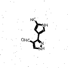 N#Cc1cc(-c2n[nH]cc2C=O)c[nH]1